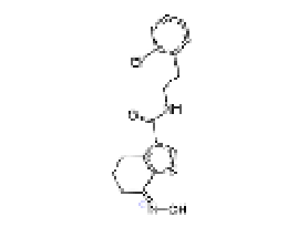 O=C(NCCc1ccccc1Cl)c1csc2c1CCC/C2=N/O